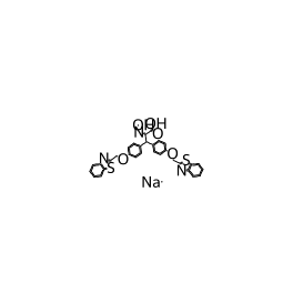 O=C(O)C(=NO)C(c1ccc(OCc2nc3ccccc3s2)cc1)c1ccc(OCc2nc3ccccc3s2)cc1.[Na]